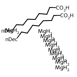 CCCCCCCCCCCCCCCCCC(=O)O.CCCCCCCCCCCCCCCCCC(=O)O.[MgH2].[MgH2].[MgH2].[MgH2].[MgH2].[MgH2].[MgH2].[MgH2].[MgH2].[MgH2]